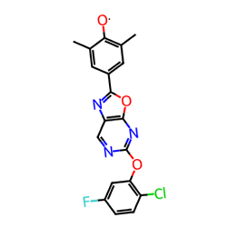 Cc1cc(-c2nc3cnc(Oc4cc(F)ccc4Cl)nc3o2)cc(C)c1[O]